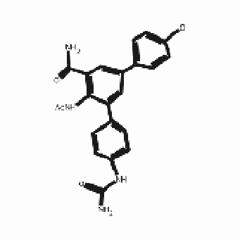 CC(=O)Nc1c(C(N)=O)cc(-c2ccc(Cl)cc2)cc1-c1ccc(NC(N)=O)cc1